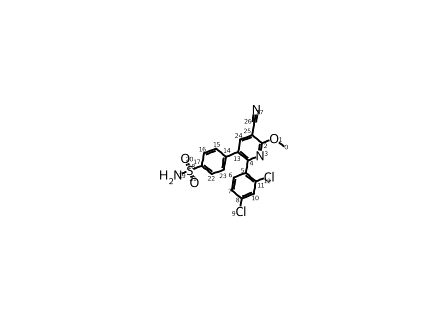 COc1nc(-c2ccc(Cl)cc2Cl)c(-c2ccc(S(N)(=O)=O)cc2)cc1C#N